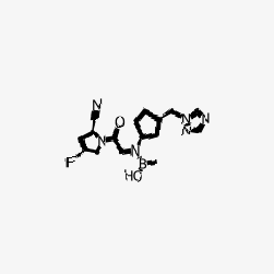 CB(O)N(CC(=O)N1C[C@@H](F)C[C@H]1C#N)[C@H]1CC[C@@H](Cn2cncn2)C1